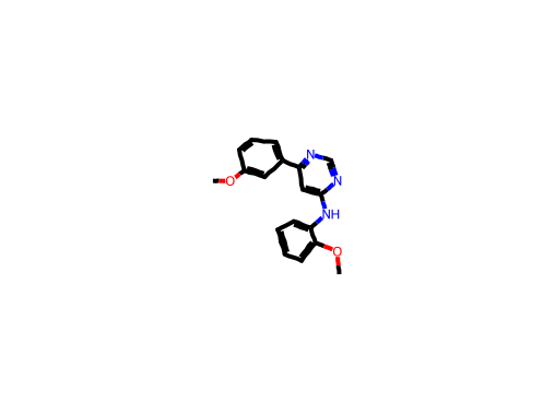 COc1cccc(-c2cc(Nc3ccccc3OC)ncn2)c1